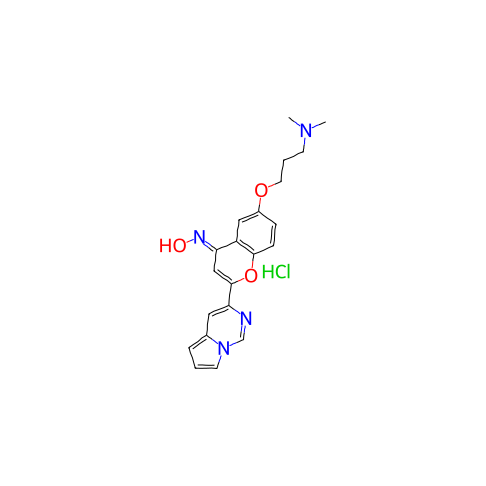 CN(C)CCCOc1ccc2oc(-c3cc4cccn4cn3)cc(=NO)c2c1.Cl